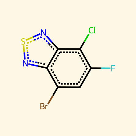 Fc1cc(Br)c2nsnc2c1Cl